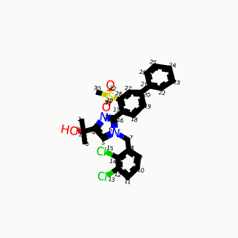 CC(C)(O)c1cn(Cc2cccc(Cl)c2Cl)c(-c2ccc(-c3ccccc3)cc2S(C)(=O)=O)n1